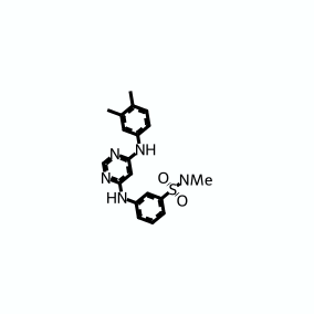 CNS(=O)(=O)c1cccc(Nc2cc(Nc3ccc(C)c(C)c3)ncn2)c1